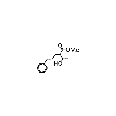 COC(=O)C(CCCc1ccccc1)C(C)O